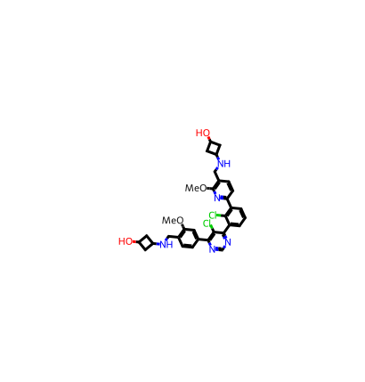 COc1cc(-c2ncnc(-c3cccc(-c4ccc(CNC5CC(O)C5)c(OC)n4)c3Cl)c2Cl)ccc1CNC1CC(O)C1